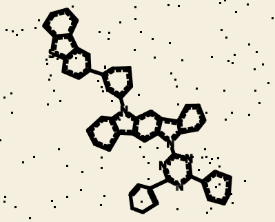 C1=CC(c2nc(-c3ccccc3)nc(-n3c4ccccc4c4cc5c(cc43)c3ccccc3n5-c3cccc(-c4ccc5sc6ccccc6c5c4)c3)n2)=CCC1